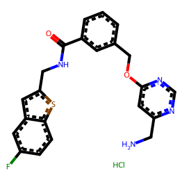 Cl.NCc1cc(OCc2cccc(C(=O)NCc3cc4cc(F)ccc4s3)c2)ncn1